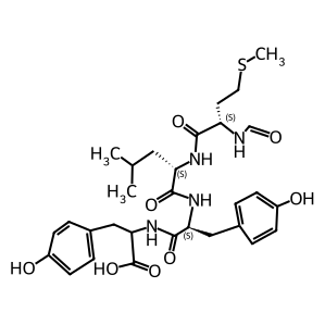 CSCC[C@H](NC=O)C(=O)N[C@@H](CC(C)C)C(=O)N[C@@H](Cc1ccc(O)cc1)C(=O)NC(Cc1ccc(O)cc1)C(=O)O